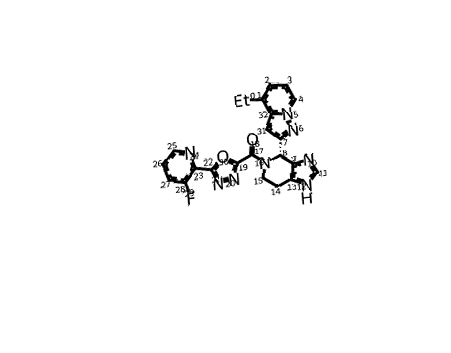 CCc1cccn2nc([C@@H]3c4nc[nH]c4CCN3C(=O)c3nnc(-c4ncccc4F)o3)cc12